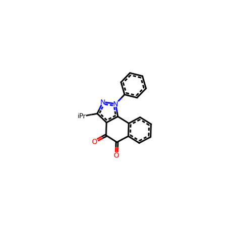 CC(C)c1nn(-c2ccccc2)c2c1C(=O)C(=O)c1ccccc1-2